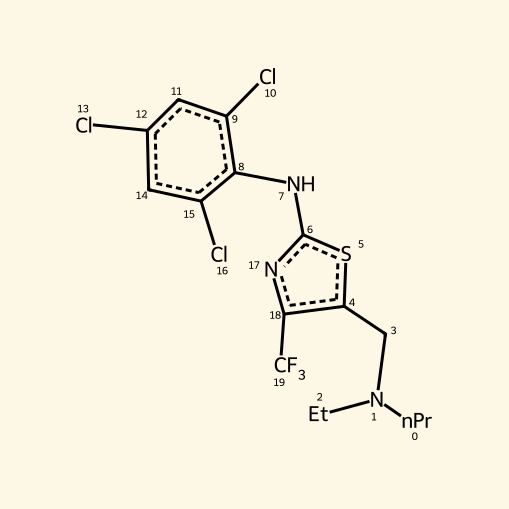 CCCN(CC)Cc1sc(Nc2c(Cl)cc(Cl)cc2Cl)nc1C(F)(F)F